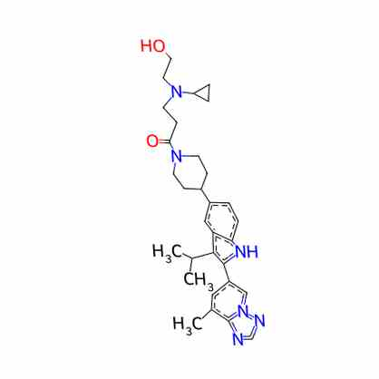 Cc1cc(-c2[nH]c3ccc(C4CCN(C(=O)CCN(CCO)C5CC5)CC4)cc3c2C(C)C)cn2ncnc12